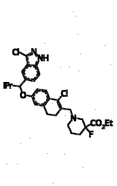 CCOC(=O)C1(F)CCCN(CC2=C(Cl)c3ccc(OC(c4ccc5[nH]nc(Cl)c5c4)C(C)C)cc3CC2)C1